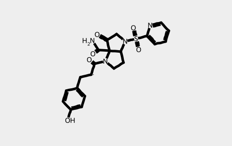 NC(=O)C12C(=O)CN(S(=O)(=O)c3ccccn3)C1CCN2C(=O)[CH]Cc1ccc(O)cc1